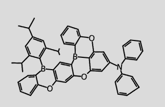 CC(C)c1cc(C(C)C)c(B2c3ccccc3Oc3cc4c(cc32)B2c3ccccc3Oc3cc(N(c5ccccc5)c5ccccc5)cc(c32)O4)c(C(C)C)c1